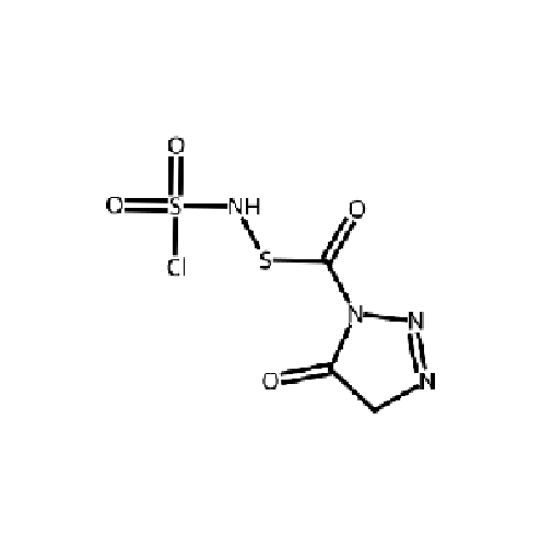 O=C1CN=NN1C(=O)SNS(=O)(=O)Cl